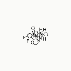 COc1cc(N2C[C@H]3CC[C@@H](C2)C3Nc2nc3n(n2)CCCO[C@H]3c2cccc(F)c2F)cnn1